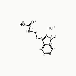 Cl.Cn1cc(CCNC(=O)O)c2ccccc21